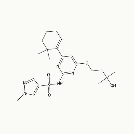 Cn1cc(S(=O)(=O)Nc2nc(OCCC(C)(C)O)cc(C3=CCCCC3(C)C)n2)cn1